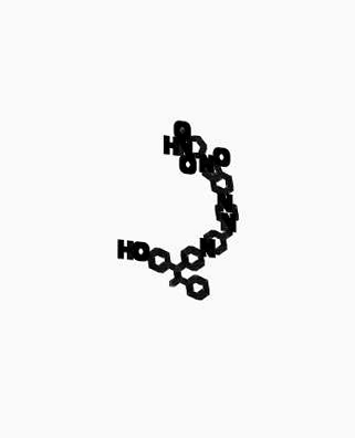 C/C(=C(\c1ccc(O)cc1)c1ccc(N2CCC(CN3CCN(c4ccc5c(c4)CN(C4CCC(=O)NC4=O)C5=O)CC3)CC2)cc1)c1ccccc1